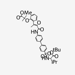 COC(=O)C(C)(C)Oc1cccc2oc(C(=O)Nc3ccc(-c4ccc(S(=O)(=O)NC(C(=O)OC(C)(C)C)C(C)C)cc4)cc3)c(C)c12